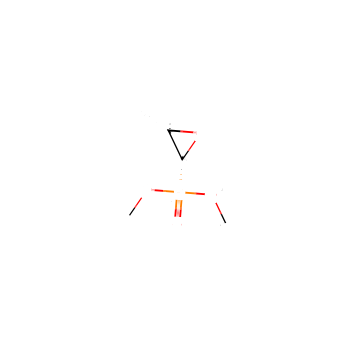 COP(=O)(OC)[C@H]1O[C@H]1C